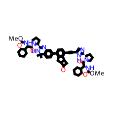 COC(=O)N[C@H](C(=O)N1CCC[C@H]1C1=Nc2cc(-c3ccc(C#Cc4cnc([C@@H]5CCCN5C(=O)[C@@H](NC(=O)OC)C5CCCCC5)[nH]4)c4c3CC3C(=O)CC43)ccc2C(C)(C)N1)C1CCCCC1